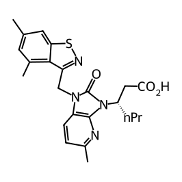 CCC[C@@H](CC(=O)O)n1c(=O)n(Cc2nsc3cc(C)cc(C)c23)c2ccc(C)nc21